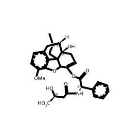 COc1ccc2c3c1OC1C(OC(=O)[C@@H](NC(=O)C[C@H](O)C(=O)O)c4ccccc4)=CC[C@@]4(O)[C@@H](C2)N(C)CCC314